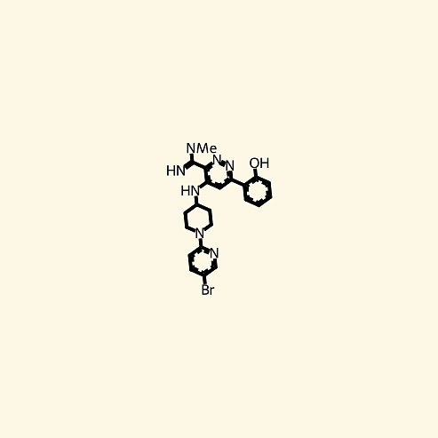 CNC(=N)c1nnc(-c2ccccc2O)cc1NC1CCN(c2ccc(Br)cn2)CC1